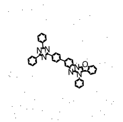 c1ccc(-c2nc(-c3ccccc3)nc(-c3ccc(-c4ccc5c(c4)nc4n(-c6ccccc6)c6c7ccccc7oc6n54)cc3)n2)cc1